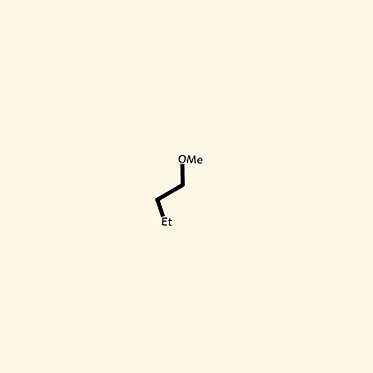 [CH2]CCCO[CH2]